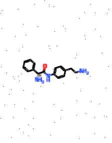 NCCc1ccc(NC(=O)[C@H](N)c2ccccc2)cc1